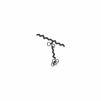 CCCCCCCCC(CCCCCC)C(=O)OCCCCCCOS(C)(=O)=O